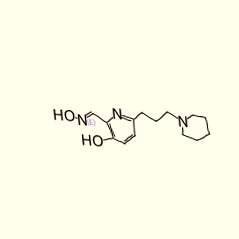 O/N=C/c1nc(CCCN2CCCCC2)ccc1O